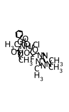 CCOC(=O)[C@@H](C)N[P@](=O)(OC[C@@]1(CCl)O[C@@H](n2cnc3c(N(C)C)nc(C)nc32)[C@@H](F)[C@@H]1O)Oc1ccccc1